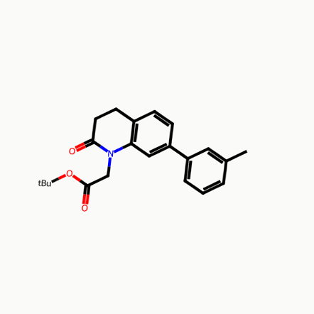 Cc1cccc(-c2ccc3c(c2)N(CC(=O)OC(C)(C)C)C(=O)CC3)c1